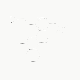 C=Cc1c(-c2cc(NS(C)(=O)=O)nnc2OCC2CC2)cn(C)c(=O)c1/C=C\C